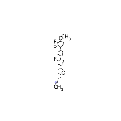 C/C=C/CCC1CCC(c2ccc(-c3ccc(-c4ccc(OC)c(F)c4F)cc3)c(F)c2)CO1